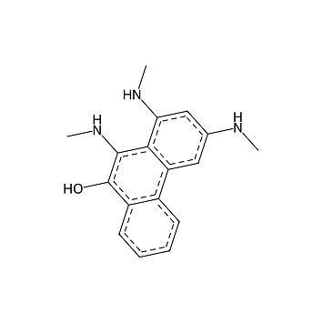 CNc1cc(NC)c2c(NC)c(O)c3ccccc3c2c1